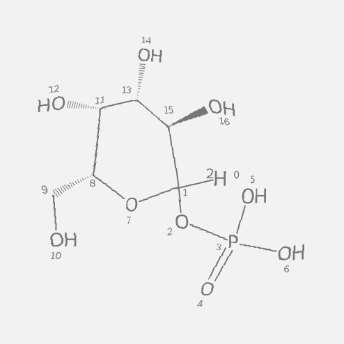 [2H]C1(OP(=O)(O)O)O[C@H](CO)[C@H](O)[C@H](O)[C@H]1O